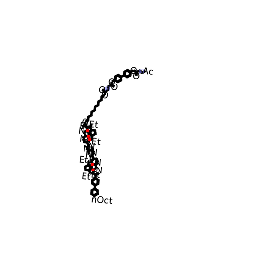 CCCCCCCCc1ccc(-c2ccc(-c3cnc4c(c3)C3(c5cc(C6=NC7=NC(c8cnc9c(c8)C8(c%10cc(OCCCCCCCCCCOC(=O)/C=C/C(=O)Oc%11ccc(-c%12ccc(OC(=O)/C=C/C(C)=O)cc%12)cc%11)cnc%10-9)C9(C(CC)CC)CCC8(C(CC)CC)CC9)=NC7=N6)cnc5-4)C4(C(CC)CC)CCC3(C(CC)CC)CC4)cc2)cc1